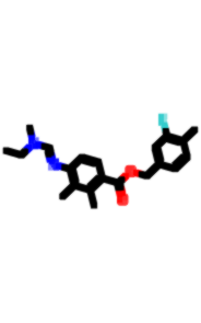 CCN(C)/C=N/c1ccc(C(=O)OCc2ccc(C)c(F)c2)c(C)c1C